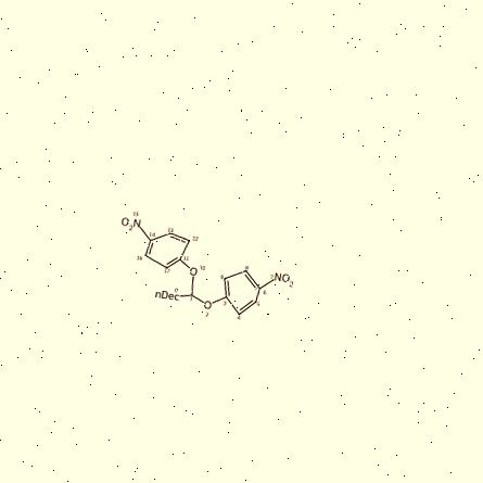 CCCCCCCCCCC(Oc1ccc([N+](=O)[O-])cc1)Oc1ccc([N+](=O)[O-])cc1